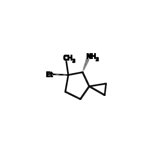 CCC1(C)CCC2(CC2)[C@H]1N